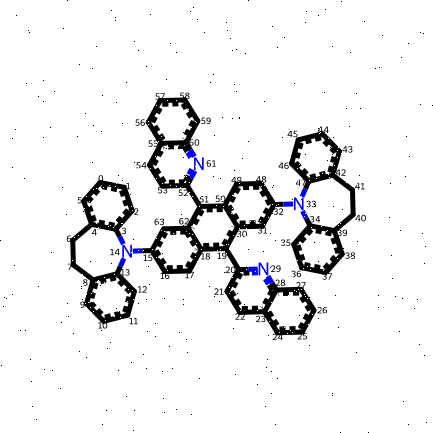 c1ccc2c(c1)CCc1ccccc1N2c1ccc2c(-c3ccc4ccccc4n3)c3cc(N4c5ccccc5CCc5ccccc54)ccc3c(-c3ccc4ccccc4n3)c2c1